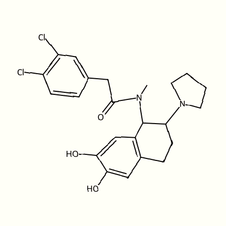 CN(C(=O)Cc1ccc(Cl)c(Cl)c1)C1c2cc(O)c(O)cc2CCC1N1CCCC1